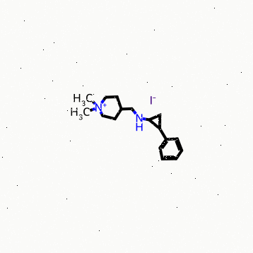 C[N+]1(C)CCC(CNC2CC2c2ccccc2)CC1.[I-]